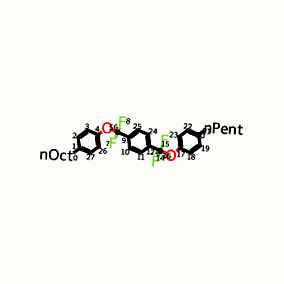 CCCCCCCCc1ccc(OC(F)(F)c2ccc(C(F)(F)Oc3ccc(CCCCC)cc3)cc2)cc1